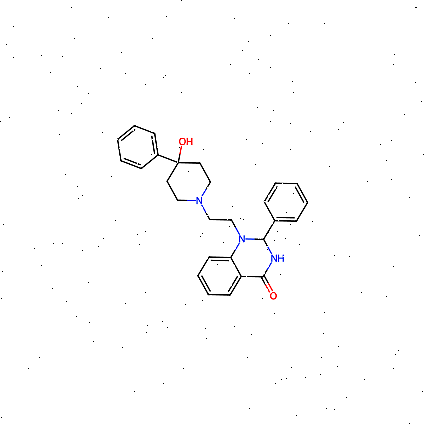 O=C1NC(c2ccccc2)N(CCN2CCC(O)(c3ccccc3)CC2)c2ccccc21